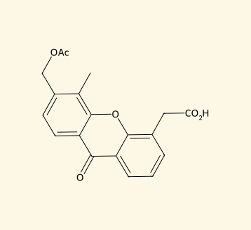 CC(=O)OCc1ccc2c(=O)c3cccc(CC(=O)O)c3oc2c1C